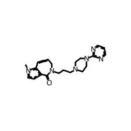 Cn1ccc2c1C=CCN(CCCN1CCN(c3ncccn3)CC1)C2=O